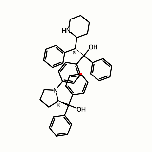 OC(c1ccccc1)(c1ccc(N2CCC[C@@H]2C(O)(c2ccccc2)c2ccccc2)cc1)[C@H](c1ccccc1)C1CCCCN1